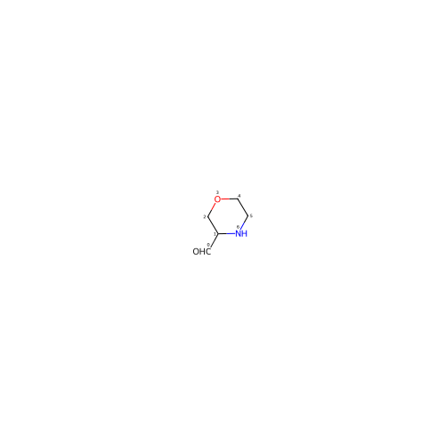 O=CC1COCCN1